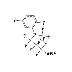 CCCCCCC(F)(F)C(F)(F)C(F)(F)P(c1cc(F)ccc1F)C(F)(F)C(F)(F)F